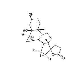 C[C@]12CCC3C(C1[C@@H]1C[C@@H]1C21CCC(=O)O1)[C@H]1C[C@H]1[C@]1(O)C[C@@H](O)CC[C@]31C